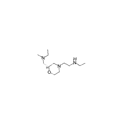 CCNCCN1CCO[C@H](CN(C)CC)C1